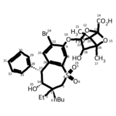 CCCC[C@]1(CC)CS(=O)(=O)c2cc(OC3OC4(C(=O)O)OC(C)(C3O)[C@]4(C)O)c(Br)cc2[C@@H](c2ccccc2)[C@H]1O